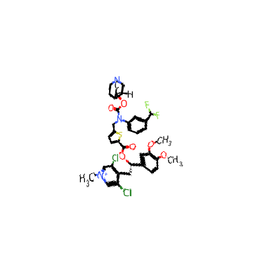 COc1ccc([C@H](Cc2c(Cl)c[n+](C)cc2Cl)OC(=O)c2ccc(CN(C(=O)O[C@H]3CN4CCC3CC4)c3cccc(C(F)F)c3)s2)cc1OC